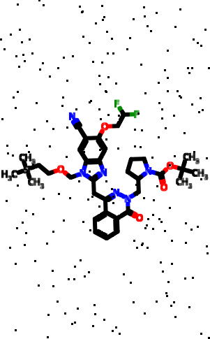 CC(C)(C)OC(=O)N1CCCC1Cn1nc(Cc2nc3cc(OCC(F)F)c(C#N)cc3n2COCC[Si](C)(C)C)c2ccccc2c1=O